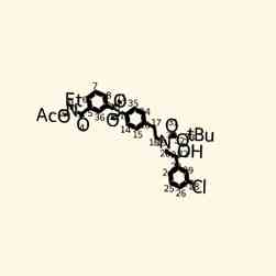 CCN(OC(C)=O)C(=O)c1cccc(S(=O)(=O)c2ccc(CCN(C[C@H](O)c3cccc(Cl)c3)C(=O)OC(C)(C)C)cc2)c1